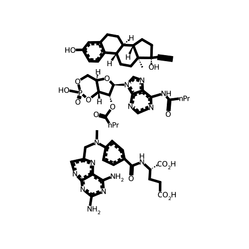 C#C[C@]1(O)CC[C@H]2[C@@H]3CCc4cc(O)ccc4[C@H]3CC[C@@]21C.CCCC(=O)Nc1ncnc2c1ncn2[C@@H]1O[C@@H]2COP(=O)(O)O[C@H]2[C@H]1OC(=O)CCC.CN(Cc1cnc2nc(N)nc(N)c2n1)c1ccc(C(=O)N[C@@H](CCC(=O)O)C(=O)O)cc1